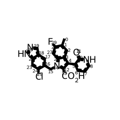 Cc1cc2c(-c3ccc[nH]c3=O)c(C(=O)O)n(Cc3cc4cn[nH]c4cc3Cl)c2cc1F